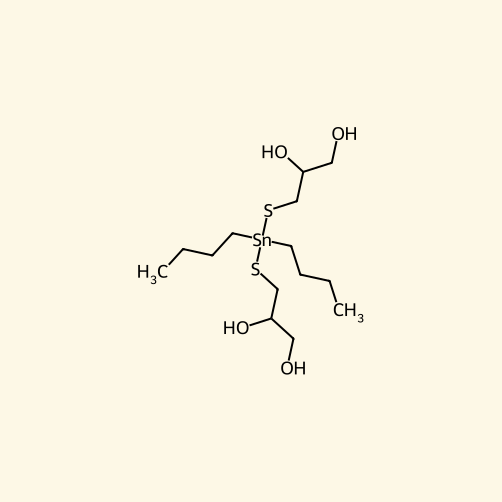 CCC[CH2][Sn]([CH2]CCC)([S]CC(O)CO)[S]CC(O)CO